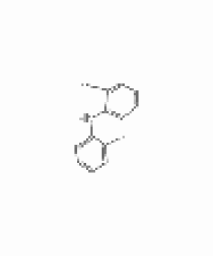 [CH2]c1ccccc1Nc1ccccc1[CH2]